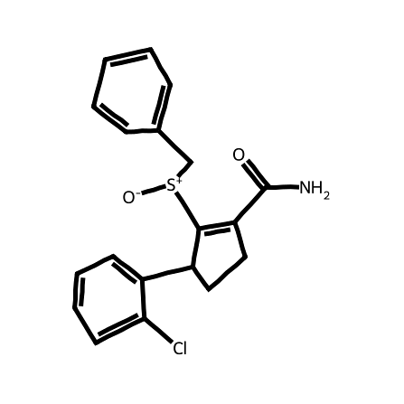 NC(=O)C1=C([S+]([O-])Cc2ccccc2)C(c2ccccc2Cl)CC1